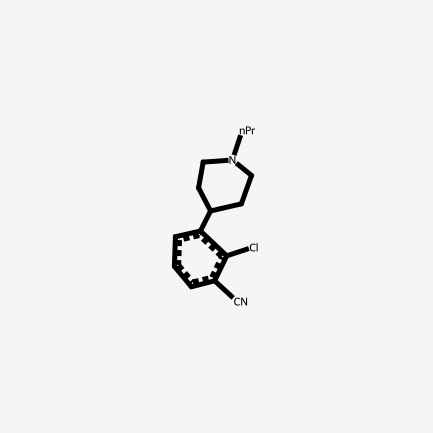 CCCN1CCC(c2cccc(C#N)c2Cl)CC1